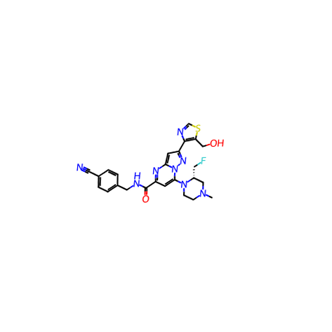 CN1CCN(c2cc(C(=O)NCc3ccc(C#N)cc3)nc3cc(-c4ncsc4CO)nn23)[C@H](CF)C1